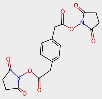 O=C(Cc1ccc(CC(=O)ON2C(=O)CCC2=O)cc1)ON1C(=O)CCC1=O